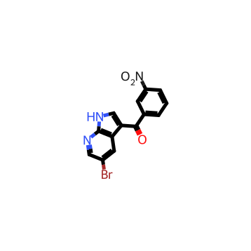 O=C(c1cccc([N+](=O)[O-])c1)c1c[nH]c2ncc(Br)cc12